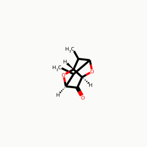 CC1C2O[C@H]3C(=O)[C@H]1O[C@@H]3C2C